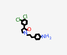 Nc1ccc(CCCN2CCC(c3ccc(Cl)c(Cl)c3)C2=O)cc1